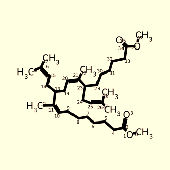 COC(=O)CCCCCC/C=C(/C)C(CC=C(C)C)C/C=C(/C)C(CC=C(C)C)CCCCCC(=O)OC